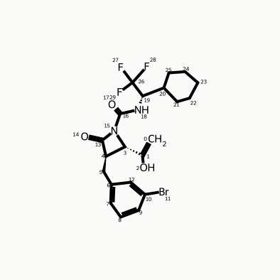 C=C(O)[C@@H]1[C@@H](Cc2cccc(Br)c2)C(=O)N1C(=O)N[C@@H](C1CCCCC1)C(F)(F)F